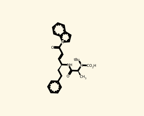 C[C@@H](C(=O)N[C@H](C=CC(=O)n1ccc2ccccc21)CCc1ccccc1)N(C(=O)O)C(C)(C)C